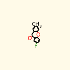 Cc1ccc2c(c1)CC(=O)c1cc(F)ccc1O2